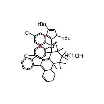 Cl.Cl.[CH2]=[Zr]([C]1=CC(C(C)(C)C)=CC1CCCC)([c]1ccc(Cl)cc1)([c]1ccc(Cl)cc1)[C]1(C)C2=C3Cc4ccccc4C3=C3C=CCCC3C2(C)C(C)(C)C(C)(C)C1(C)C